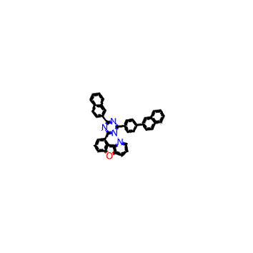 c1ccc2cc(-c3ccc(-c4nc(-c5ccc6ccccc6c5)nc(-c5cccc6oc7cccnc7c56)n4)cc3)ccc2c1